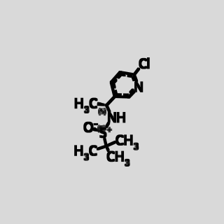 C[C@H](N[S@+]([O-])C(C)(C)C)c1ccc(Cl)nc1